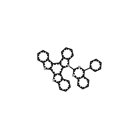 c1ccc(-c2nc(-n3c4ccccc4c4c5c6ccccc6sc5c5sc6ccccc6c5c43)nc3ccccc23)cc1